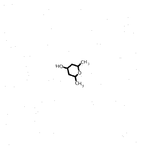 CC1C[C](O)CC(C)O1